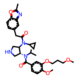 COCCCOc1cc(C(=O)N(C(C)C)[C@@H]2CNCC2N(C(=O)Cc2ccc3oc(C)nc3c2)C2CC2)ccc1OC